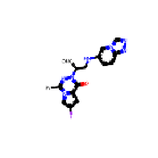 CC(C)c1nn(C(C=O)CNc2ccc3nncn3c2)c(=O)c2cc(I)cn12